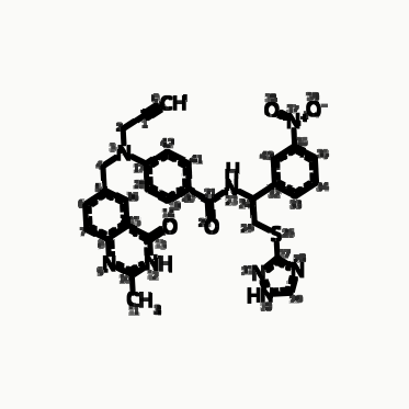 C#CCN(Cc1ccc2nc(C)[nH]c(=O)c2c1)c1ccc(C(=O)NC(CSc2nc[nH]n2)c2cccc([N+](=O)[O-])c2)cc1